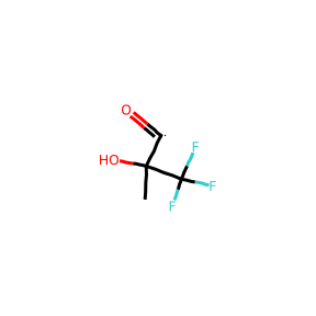 CC(O)([C]=O)C(F)(F)F